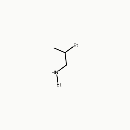 C[CH]NCC(C)CC